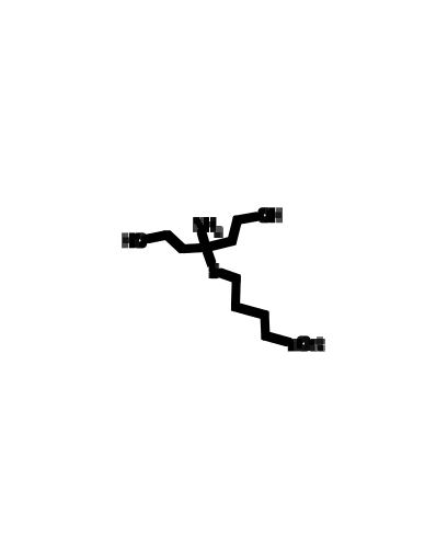 CCCCCCCCCCCCSC(N)(CCO)CCO